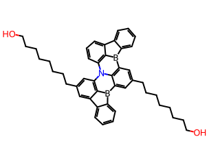 OCCCCCCCCc1cc2c3c(c1)B1c4ccccc4-c4cc(CCCCCCCCO)cc(c41)N3c1cccc3c1B2c1ccccc1-3